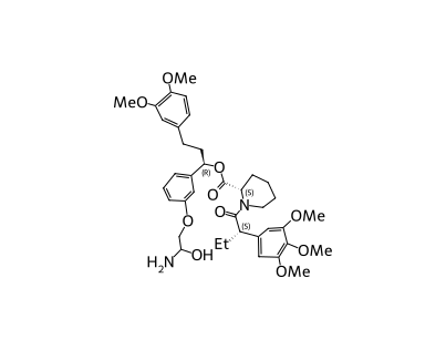 CC[C@H](C(=O)N1CCCC[C@H]1C(=O)O[C@H](CCc1ccc(OC)c(OC)c1)c1cccc(OCC(N)O)c1)c1cc(OC)c(OC)c(OC)c1